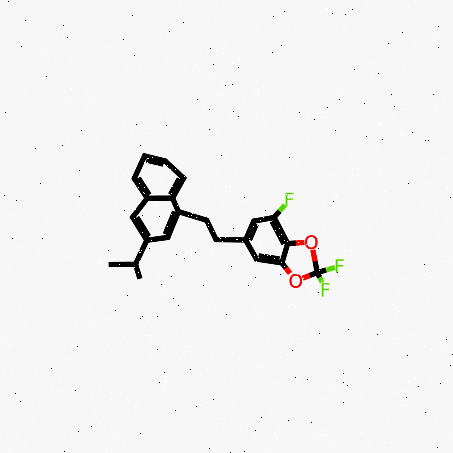 CC(C)c1cc(CCc2cc(F)c3c(c2)OC(F)(F)O3)c2ccccc2c1